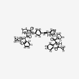 O=C(N[C@@H](C(=O)N1CCC[C@H]1C(=O)Nc1ccc(C#Cc2cnc([C@@H]3CCCN3C(=O)[C@H](NC(=O)C3CC3)c3ccccc3)[nH]2)cc1)c1ccccc1)C1CC1